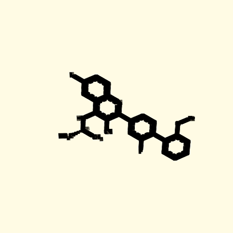 CCOc1ccccc1-c1ccc(-c2nc3ccc(F)cc3c(N[C@H](C)C(=O)O)c2C#N)cc1F